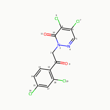 O=C(Cn1ncc(Cl)c(Cl)c1=O)c1ccc(Cl)cc1Cl